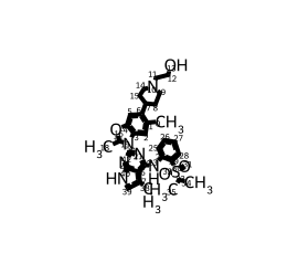 Cc1cc2c(cc1C1CCN(CCO)CC1)OC(C)N2c1nc(Nc2ccccc2S(=O)(=O)C(C)C)c2c(C)c[nH]c2n1